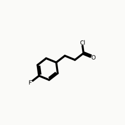 O=C(Cl)CCC1C=CC(F)=CC1